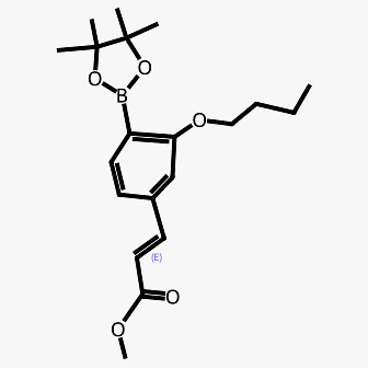 CCCCOc1cc(/C=C/C(=O)OC)ccc1B1OC(C)(C)C(C)(C)O1